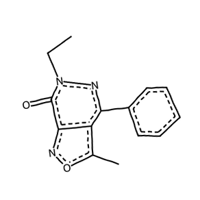 CCn1nc(-c2ccccc2)c2c(C)onc2c1=O